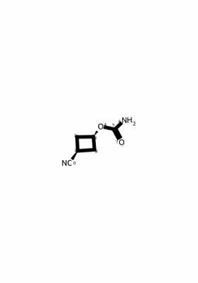 N#C[C@H]1C[C@H](OC(N)=O)C1